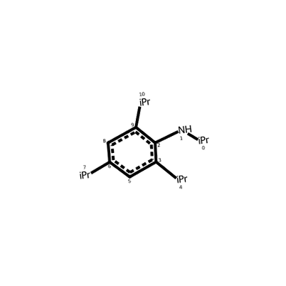 CC(C)Nc1c(C(C)C)cc(C(C)C)cc1C(C)C